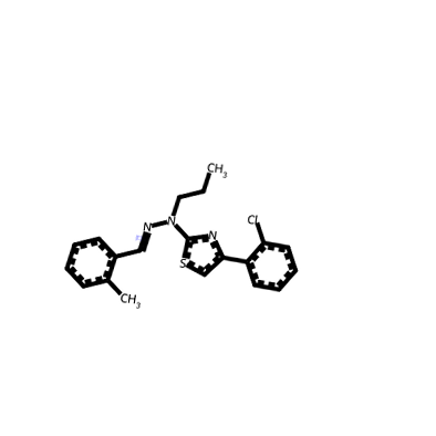 CCCN(/N=C/c1ccccc1C)c1nc(-c2ccccc2Cl)cs1